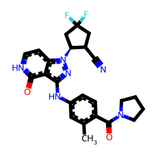 Cc1cc(Nc2nn([C@H]3CC(F)(F)CC3C#N)c3cc[nH]c(=O)c23)ccc1C(=O)N1CCCC1